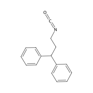 O=C=NCC[C](c1ccccc1)c1ccccc1